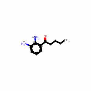 CCCCC(=O)c1cccc(N)c1N